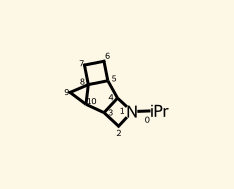 CC(C)N1CC2C1C1CCC13CC23